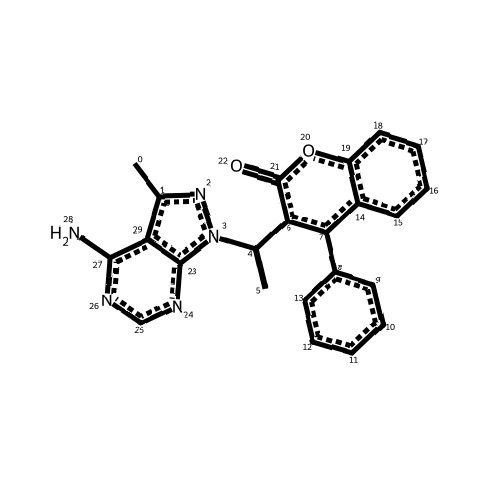 Cc1nn(C(C)c2c(-c3ccccc3)c3ccccc3oc2=O)c2ncnc(N)c12